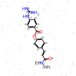 CCCN(CC)C(=O)C=Cc1ccc(OC(=O)c2ccc(NC(=N)N)cc2)cc1